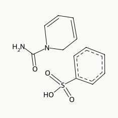 NC(=O)N1C=CC=CC1.O=S(=O)(O)c1ccccc1